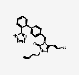 C=CCCn1nc(C=CCC)n(Cc2ccc(-c3ccccc3-c3nnn[nH]3)cc2)c1=O